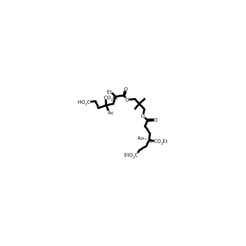 CCOC(=O)CC[C@](CCC(=O)OCC(C)(C)COC(=O)C(CC)CC(CCC(=O)O)(C(C)=O)C(=O)OCC)(C(C)=O)C(=O)OCC